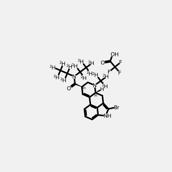 O=C(O)C(F)(F)F.[2H]C([2H])([2H])N1C[C@H](C(=O)N(C([2H])([2H])C([2H])([2H])[2H])C([2H])([2H])C([2H])([2H])[2H])C=C2c3cccc4[nH]c(Br)c(c34)C[C@H]21